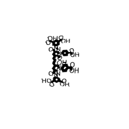 O=C(O)c1ccc(-n2c3nn(-c4cc(C(=O)O)cc(C(=O)O)c4)c(=O)c-3cc(C=CC=c3cc4c(n(-c5ccc(C(=O)O)cc5)c3=O)=NN(c3cc(C(=O)O)cc(C(=O)O)c3)C4=O)c2O)cc1